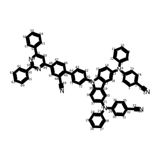 N#Cc1ccc(N(c2ccccc2)c2ccc3c(c2)c2cc(N(c4ccccc4)c4ccc(C#N)cc4)ccc2n3-c2ccc(-c3ccc(-c4cc(-c5ccccc5)nc(-c5ccccc5)n4)cc3C#N)cc2)cc1